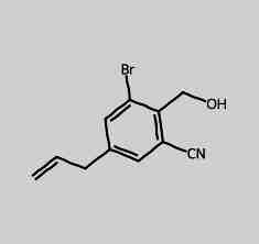 C=CCc1cc(Br)c(CO)c(C#N)c1